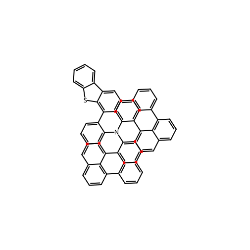 c1ccc(-c2cccc3cccc(-c4ccccc4N(c4ccccc4-c4cccc5c4sc4ccccc45)c4ccccc4-c4cccc5cccc(-c6ccccc6)c45)c23)cc1